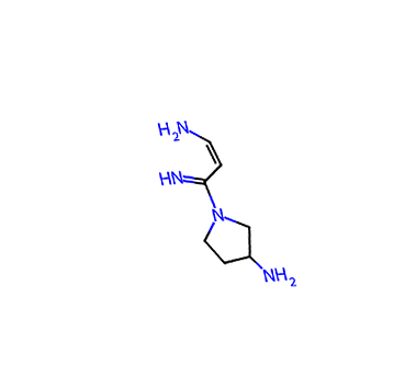 N=C(/C=C\N)N1CCC(N)C1